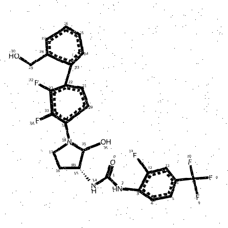 O=C(Nc1ccc(C(F)(F)F)cc1F)N[C@@H]1CCN(c2ccc(-c3ccccc3CO)c(F)c2F)C1O